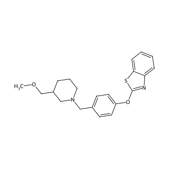 COCC1CCCN(Cc2ccc(Oc3nc4ccccc4s3)cc2)C1